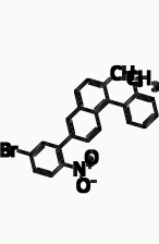 Cc1ccccc1-c1c(C)ccc2cc(-c3cc(Br)ccc3[N+](=O)[O-])ccc12